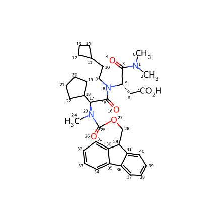 CN(C)C(=O)[C@H](CC(=O)O)N(CCC1CCC1)C(=O)[C@H](C1CCCC1)N(C)C(=O)OCC1c2ccccc2-c2ccccc21